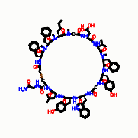 CCCC[C@H]1C(=O)N(C)CC(=O)N[C@@H](CC(O)O)C(=O)N[C@@H](C(C)C)C(=O)N(C)[C@@H](Cc2ccccc2)C(=O)N[C@@H](Cc2ccc(O)cc2)C(=O)NCC(=O)N[C@@H](Cc2c[nH]c3ccccc23)C(=O)N[C@@H](Cc2ccc(O)cc2)C(=O)N[C@@H](CC(C)C)C(=O)N[C@H](C(=O)NCC(N)=O)CSCC(=O)N[C@@H](Cc2ccccc2)C(=O)N(C)[C@@H](Cc2ccccc2)C(=O)N1C